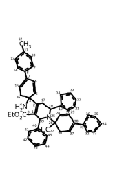 CCOC(=O)C1=C(C2(N)C=CC(c3ccc(C)cc3)=CC2)CC(c2ccccc2)N(C2(C)C=CC(c3ccccc3)=CC2)C1c1ccccc1